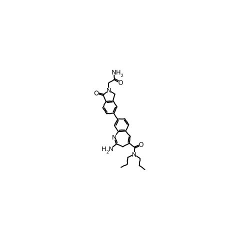 CCCN(CCC)C(=O)C1=Cc2ccc(-c3ccc4c(c3)CN(CC(N)=O)C4=O)cc2N=C(N)C1